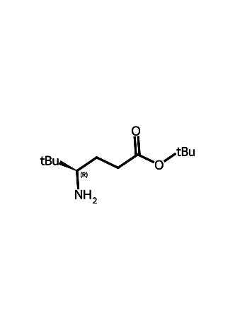 CC(C)(C)OC(=O)CC[C@@H](N)C(C)(C)C